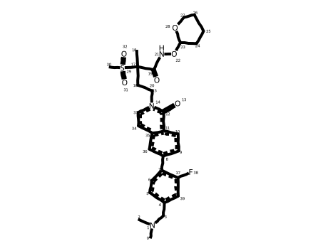 CN(C)Cc1ccc(-c2ccc3c(=O)n(CCC(C)(C(=O)NOC4CCCCO4)S(C)(=O)=O)ccc3c2)c(F)c1